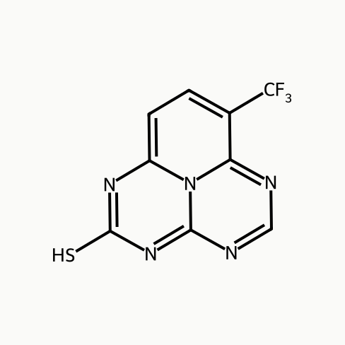 FC(F)(F)C1=CC=C2N=C(S)N=C3N=CN=C1N23